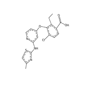 CCc1c(C(=O)O)ccc(Cl)c1Oc1ccnc(Nc2nc(C)cs2)c1